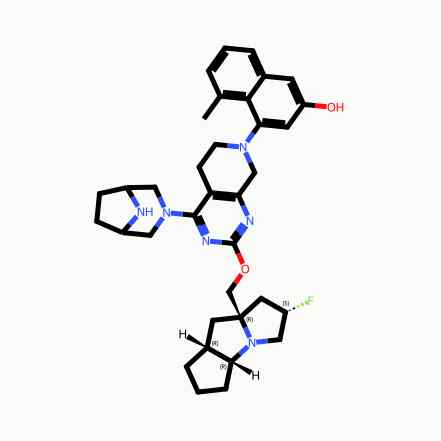 Cc1cccc2cc(O)cc(N3CCc4c(nc(OC[C@@]56C[C@H](F)CN5[C@@H]5CCC[C@@H]5C6)nc4N4CC5CCC(C4)N5)C3)c12